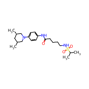 CC1C[C@@H](C)CN(c2ccc(NC(=O)CCCCNS(=O)(=O)C(C)C)cc2)C1